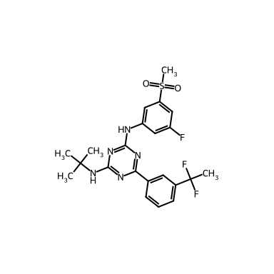 CC(C)(C)Nc1nc(Nc2cc(F)cc(S(C)(=O)=O)c2)nc(-c2cccc(C(C)(F)F)c2)n1